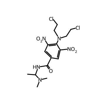 CC(NC(=O)c1cc([N+](=O)[O-])c(N(CCCl)CCCl)c([N+](=O)[O-])c1)N(C)C